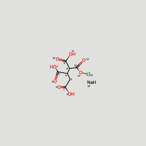 O=C(O)CC(C(=O)O)C(C(=O)O)C(=O)OCl.[NaH]